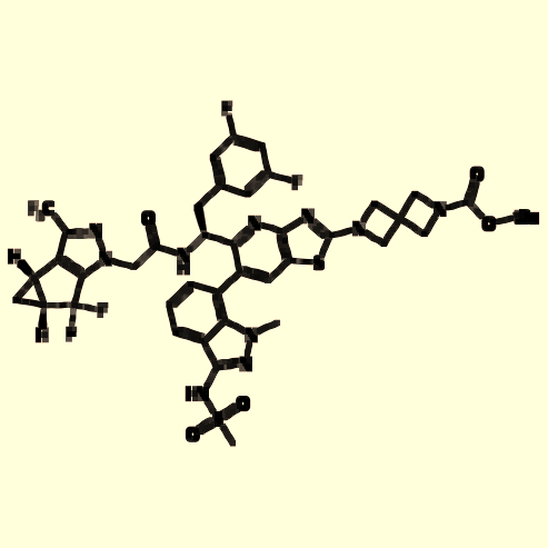 Cn1nc(NS(C)(=O)=O)c2cccc(-c3cc4sc(N5CC6(CN(C(=O)OC(C)(C)C)C6)C5)nc4nc3[C@H](Cc3cc(F)cc(F)c3)NC(=O)Cn3nc(C(F)(F)F)c4c3C(F)(F)[C@@H]3C[C@H]43)c21